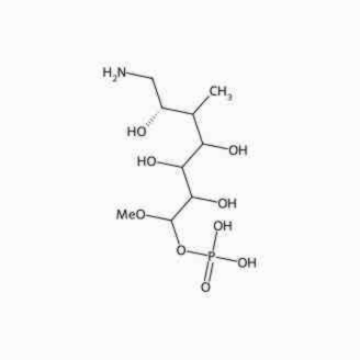 COC(OP(=O)(O)O)C(O)C(O)C(O)C(C)[C@H](O)CN